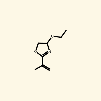 C=C(C)C1=NC(OCC)CO1